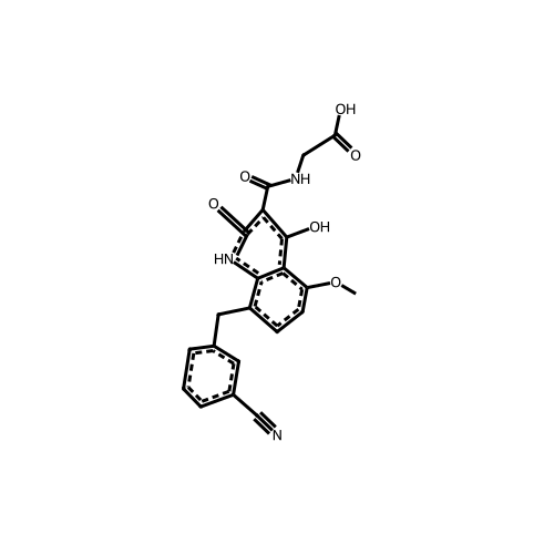 COc1ccc(Cc2cccc(C#N)c2)c2[nH]c(=O)c(C(=O)NCC(=O)O)c(O)c12